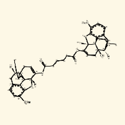 COc1ccc2c3c1O[C@H]1C(OC(=O)CCCCC(=O)OC4=CC[C@@]5(O)[C@H]6Cc7ccc(OC)c8c7[C@@]5(CCN6C)[C@H]4O8)=CC[C@@]4(O)[C@@H](C2)N(C)CC[C@]314